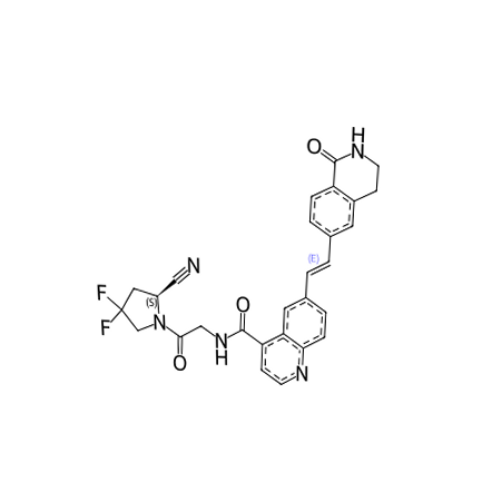 N#C[C@@H]1CC(F)(F)CN1C(=O)CNC(=O)c1ccnc2ccc(/C=C/c3ccc4c(c3)CCNC4=O)cc12